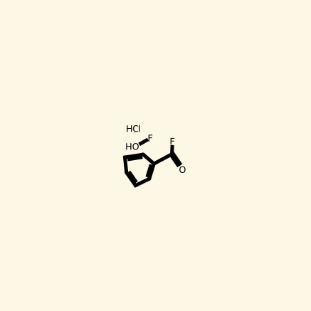 Cl.O=C(F)c1ccccc1.OF